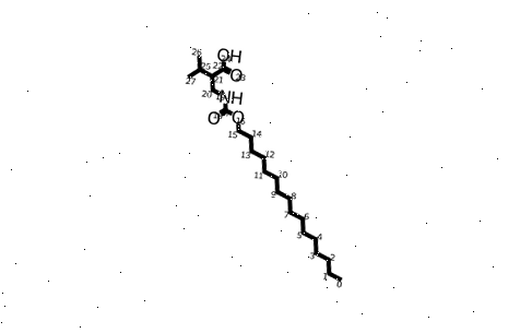 CCCCCCCCCCCCCCCCOC(=O)NCC(C(=O)O)C(C)C